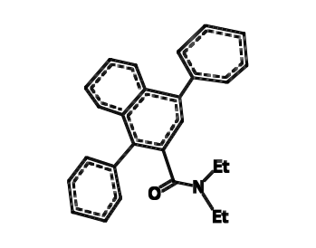 CCN(CC)C(=O)c1cc(-c2ccccc2)c2ccccc2c1-c1ccccc1